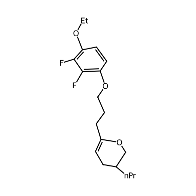 CCCC1CC=C(CCCOc2ccc(OCC)c(F)c2F)OC1